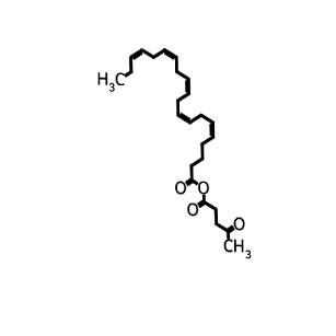 CC/C=C\C/C=C\C/C=C\C/C=C\C/C=C\CCCC(=O)OC(=O)CCC(C)=O